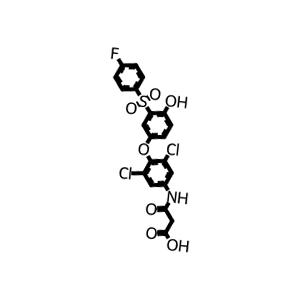 O=C(O)CC(=O)Nc1cc(Cl)c(Oc2ccc(O)c(S(=O)(=O)c3ccc(F)cc3)c2)c(Cl)c1